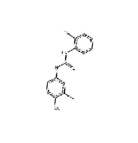 CC(C)(C)c1ccc(NC(=O)Nc2ccccc2Cl)cc1F